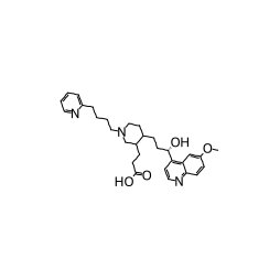 COc1ccc2nccc([C@@H](O)CCC3CCN(CCCCc4ccccn4)CC3CCC(=O)O)c2c1